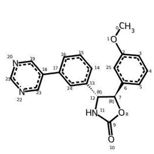 COc1cccc([C@H]2OC(=O)N[C@@H]2c2cccc(-c3cncnc3)c2)c1